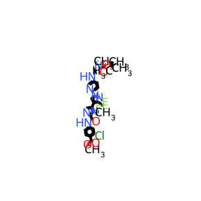 COC(=O)c1ccc(NC(=O)c2ncc(-c3cn(-c4ccc(NCCN(C)C(=O)OC(C)(C)C)cn4)nc3C(F)(F)F)n2C)cc1Cl